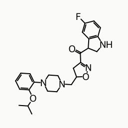 CC(C)Oc1ccccc1N1CCN(CC2CC(C(=O)C3CNc4ccc(F)cc43)=NO2)CC1